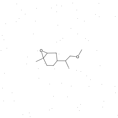 COCC(C)C1CCC2(C)OC2C1